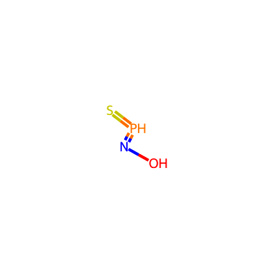 ON=[PH]=S